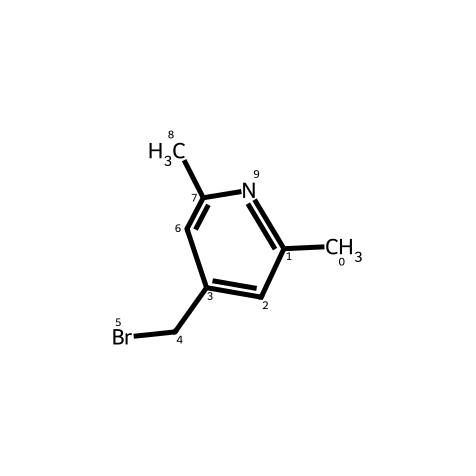 Cc1cc(CBr)cc(C)n1